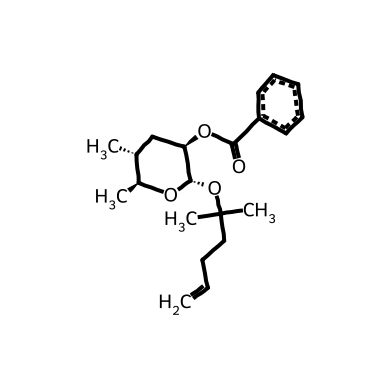 C=CCCC(C)(C)O[C@@H]1O[C@@H](C)[C@H](C)C[C@H]1OC(=O)c1ccccc1